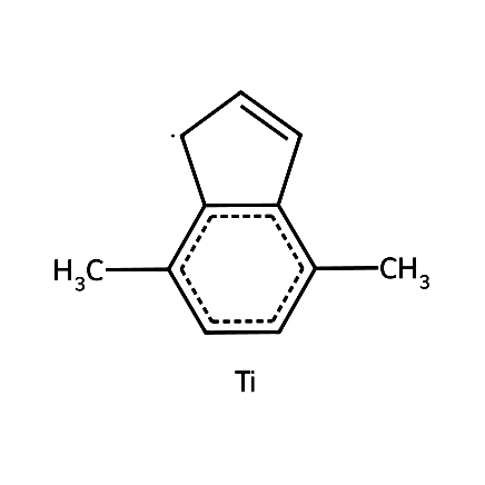 Cc1ccc(C)c2c1[CH]C=C2.[Ti]